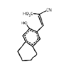 N#C/C(=C/c1cc2c(cc1O)CCCC2)C(=O)O